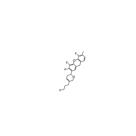 Cc1ccc2c(c1F)Oc1c(cc(C3CC=C(CCCF)CO3)c(F)c1F)C2